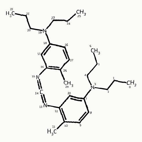 CCCN(CCC)c1ccc(C)c(N=C=Nc2cc(N(CCC)CCC)ccc2C)c1